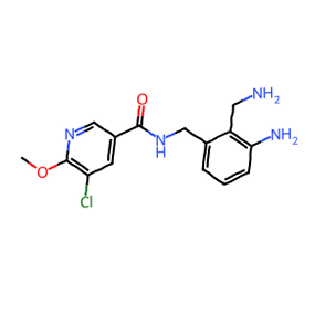 COc1ncc(C(=O)NCc2cccc(N)c2CN)cc1Cl